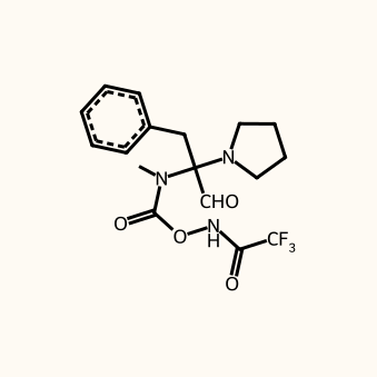 CN(C(=O)ONC(=O)C(F)(F)F)C(C=O)(Cc1ccccc1)N1CCCC1